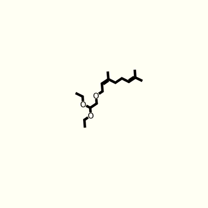 CCOC(COCC=C(C)CCC=C(C)C)OCC